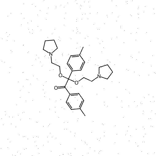 Cc1ccc(C(=O)C(OCCN2CCCC2)(OCCN2CCCC2)c2ccc(C)cc2)cc1